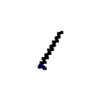 CCCCCC/C=C/CCCCCCCCN(C)C